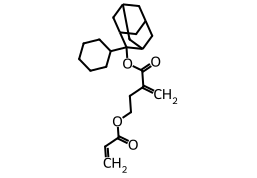 C=CC(=O)OCCC(=C)C(=O)OC1(C2CCCCC2)C2CC3CC(C2)CC1C3